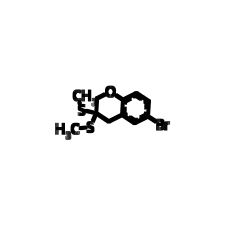 CSC1(SC)COc2ccc(Br)cc2C1